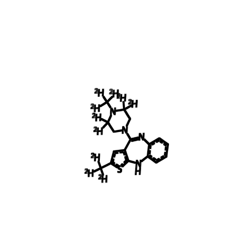 [2H]C([2H])([2H])c1cc2c(s1)Nc1ccccc1N=C2N1CC([2H])([2H])N(C([2H])([2H])[2H])C([2H])([2H])C1